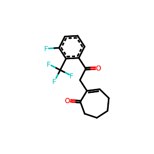 O=C1CCCCC=C1CC(=O)c1cccc(F)c1C(F)(F)F